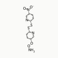 NOOc1ccc(SSc2ccc([N+](=O)[O-])cn2)nc1